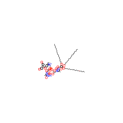 [C-]#[N+]CCOP(=O)(OC[C@H]1O[C@@H](n2cc(C)c(=O)n(C(=O)c3cc(OCCCCCCCCCCCCCCCCCC)c(OCCCCCCCCCCCCCCCCCC)c(OCCCCCCCCCCCCCCCCCC)c3)c2=O)CC1O)OC1C[C@H](n2cc(C)c(=O)[nH]c2=O)O[C@@H]1COC(c1ccccc1)(c1ccc(OC)cc1)c1ccc(OC)cc1